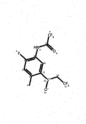 Cc1cc(F)c(NC(=O)C(F)(F)F)cc1[S+]([O-])CC(F)(F)F